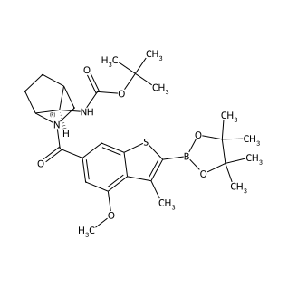 COc1cc(C(=O)N2CC3CCC2[C@@H]3NC(=O)OC(C)(C)C)cc2sc(B3OC(C)(C)C(C)(C)O3)c(C)c12